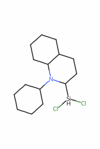 Cl[SiH](Cl)C1CCC2CCCCC2N1C1CCCCC1